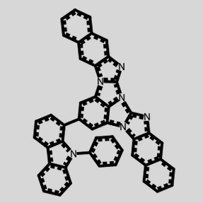 c1ccc(-n2c3ccccc3c3cccc(-c4cc5c6c(c4)n4c7cc8ccccc8cc7nc4n6c4nc6cc7ccccc7cc6n54)c32)cc1